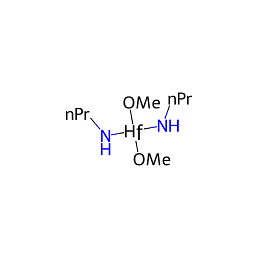 CCC[NH][Hf]([NH]CCC)([O]C)[O]C